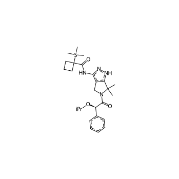 CC(C)O[C@@H](C(=O)N1Cc2c(NC(=O)C3(S(C)(C)C)CCC3)n[nH]c2C1(C)C)c1ccccc1